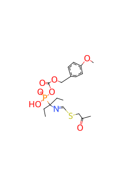 CCC(CC)(N=CSCC(C)=O)P(=O)(O)OC(=O)OCc1ccc(OC)cc1